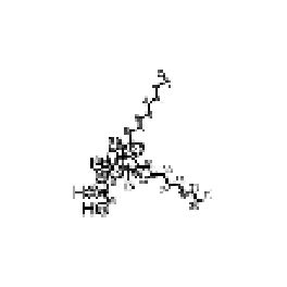 CCCCCCCCCCC(=O)C(C[N+](C)(C)C)(OP(=O)([O-])OC[C@H](O)CO)C(=O)CCCCCCCCCC